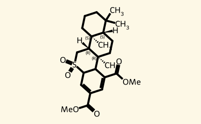 COC(=O)C1=CC2C(C(C(=O)OC)=C1)[C@]1(C)CC[C@H]3C(C)(C)CCC[C@]3(C)[C@H]1CS2(=O)=O